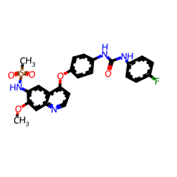 COc1cc2nccc(Oc3ccc(NC(=O)Nc4ccc(F)cc4)cc3)c2cc1NS(C)(=O)=O